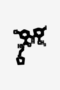 Cc1cc(I)ccc1Nc1ccc(Cl)cc1C(=O)NCCN1CCCC1